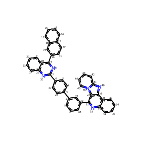 c1cc(-c2ccc(-c3nc(-c4ccc5ccccc5c4)c4ccccc4n3)cc2)cc(-c2nc3ccccc3c3nc4ccccn4c23)c1